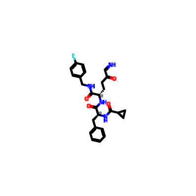 N=CC(=O)CC[C@H](NC(=O)[C@H](Cc1ccccc1)NC(=O)C1CC1)C(=O)NCc1ccc(F)cc1